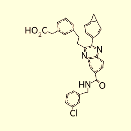 O=C(O)Cc1cccc(CCc2nc3cc(C(=O)NCc4cccc(Cl)c4)ccc3nc2C2=CC=C3CC3C=C2)c1